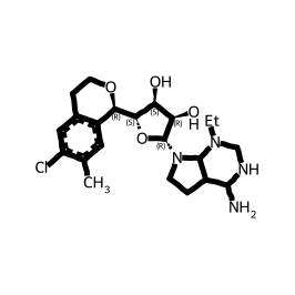 CCN1CNC(N)C2CCN([C@@H]3O[C@H]([C@@H]4OCCc5cc(Cl)c(C)cc54)[C@@H](O)[C@H]3O)C21